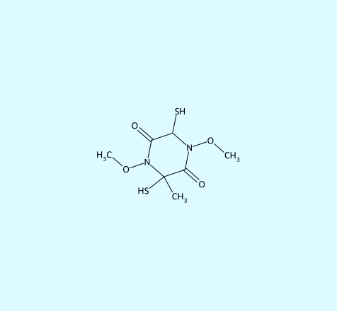 CON1C(=O)C(C)(S)N(OC)C(=O)C1S